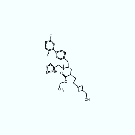 CCOC(=O)[C@H](CCN1CC(CO)C1)C[C@@H](Cc1ccc(-c2cc(Cl)ccc2F)cc1)NCc1cnn[nH]1